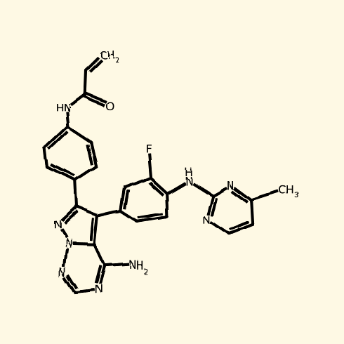 C=CC(=O)Nc1ccc(-c2nn3ncnc(N)c3c2-c2ccc(Nc3nccc(C)n3)c(F)c2)cc1